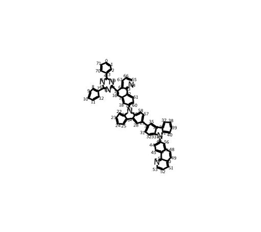 c1ccc(-c2nc(-c3ccccc3)nc(-c3cc4cc(-n5c6ccccc6c6cc(-c7ccc8c(c7)c7ccccc7n8-c7ccc8c(ccc9cccnc98)c7)ccc65)ccc4c4ncccc34)n2)cc1